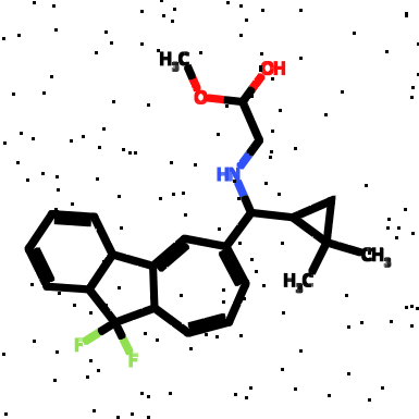 COC(O)CNC(C1=CC=CC2C(=C1)C1C=CC=CC1C2(F)F)C1CC1(C)C